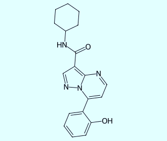 O=C(NC1CCCCC1)c1cnn2c(-c3ccccc3O)ccnc12